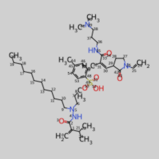 C=C(C(=O)NN(CCC)CCCCCCCCCCCC)C(C)C.C=CN1CCC(C=C(C)C(=O)NCCCN(C)C)C1=O.Cc1ccc(S(=O)(=O)O)cc1